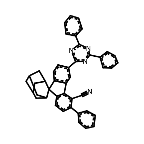 N#Cc1c(-c2ccccc2)ccc2c1-c1cc(-c3nc(-c4ccccc4)nc(-c4ccccc4)n3)ccc1C21C2CC3CC(C2)CC1C3